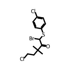 CC(C)(CCCl)C(=O)C(Br)Sc1ccc(Cl)cc1